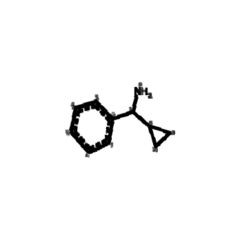 NC(c1c[c]ccc1)C1CC1